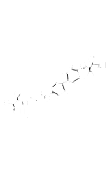 C=C(C)C(=O)OCCCOc1ccc(-c2ccc(OC(=O)C(C)=O)cc2)cc1